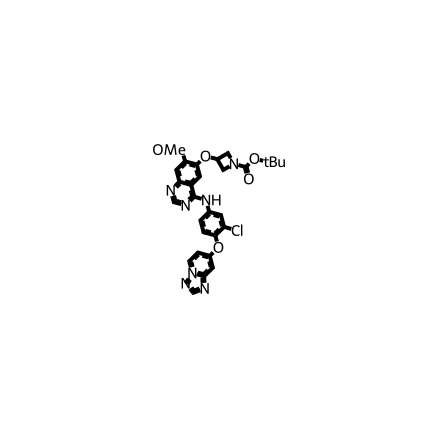 COc1cc2ncnc(Nc3ccc(Oc4ccn5ncnc5c4)c(Cl)c3)c2cc1OC1CN(C(=O)OC(C)(C)C)C1